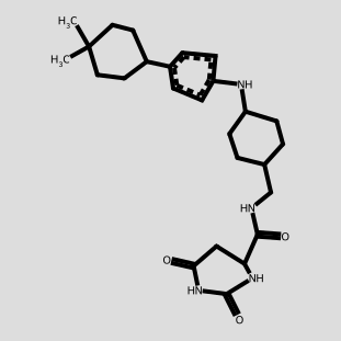 CC1(C)CCC(c2ccc(NC3CCC(CNC(=O)C4CC(=O)NC(=O)N4)CC3)cc2)CC1